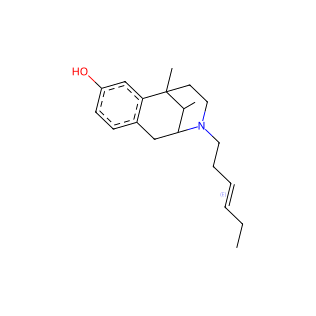 CC/C=C/CCN1CCC2(C)c3cc(O)ccc3CC1C2C